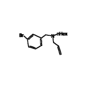 C=CCN(CCCCCC)Cc1cccc(Br)c1